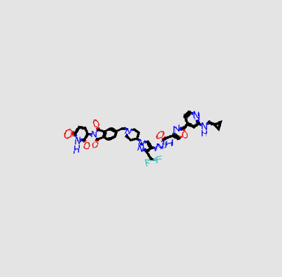 O=C1CCC(N2C(=O)c3ccc(CN4CCC(n5cc(NC(=O)c6coc(-c7ccnc(NCC8CC8)c7)n6)c(C(F)F)n5)CC4)cc3C2=O)C(=O)N1